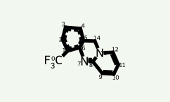 FC(F)(F)c1cccc2c1N=C1C=CC=CN1C2